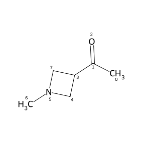 CC(=O)C1CN(C)C1